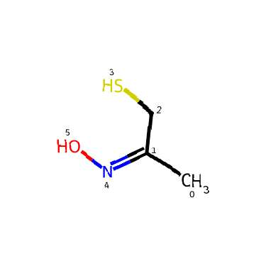 CC(CS)=NO